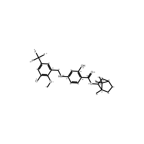 COc1c(Cl)cc(C(F)(F)F)cc1CNc1ccc(C(=O)OC2CC3CCC2(C)C3(C)C)c(O)c1